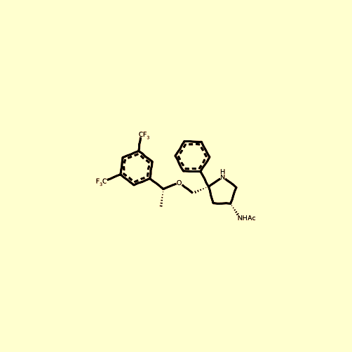 CC(=O)N[C@H]1CN[C@](CO[C@H](C)c2cc(C(F)(F)F)cc(C(F)(F)F)c2)(c2ccccc2)C1